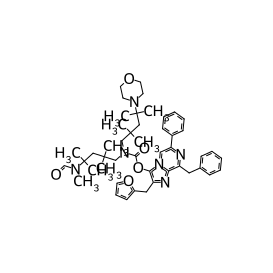 CN(C=O)C(C)(C)CC(C)(C)CN(CC(C)(C)CC(C)(C)N1CCOCC1)C(=O)Oc1c(Cc2ccco2)nc2c(Cc3ccccc3)nc(-c3ccccc3)cn12